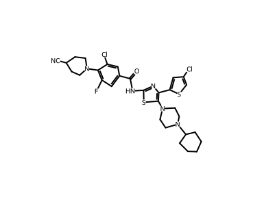 N#CC1CCN(c2c(F)cc(C(=O)Nc3nc(-c4cc(Cl)cs4)c(N4CCN(C5CCCCC5)CC4)s3)cc2Cl)CC1